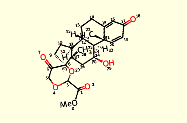 COC(=O)C1OCC(=O)[C@]2(CC[C@H]3[C@@H]4CCC5=CC(=O)C=C[C@]5(C)[C@H]4[C@@H](O)C[C@@]32C)O1